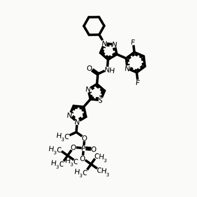 CC(OP(=O)(OC(C)(C)C)OC(C)(C)C)n1cc(-c2nc(C(=O)Nc3cn(C4CCCCC4)nc3-c3nc(F)ccc3F)cs2)cn1